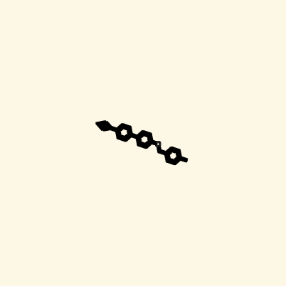 Cc1ccc(COc2ccc(-c3ccc(C4C5CC54)cc3)cc2)cc1